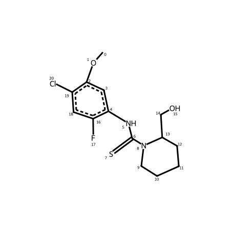 COc1cc(NC(=S)N2CCCCC2CO)c(F)cc1Cl